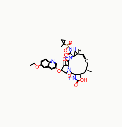 CCOc1ccc2ncc(O[C@@H]3C[C@H]4C(=O)N[C@]5(C(=O)NS(=O)(=O)C6(C)CC6)C[C@H]5C=CCC[C@@H](C)C[C@@H](C)[C@H](NC(=O)O)C(=O)N4C3)cc2c1